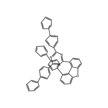 c1ccc(-c2ccc(-c3nc(-c4ccc(-c5ccccc5)cc4)nc(-c4cccc5oc6cccc(-c7ccc(-c8ccccc8)cc7)c6c45)n3)cc2)cc1